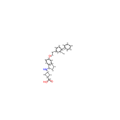 Cc1cc(CCOc2ccc3c(c2)CCC3N[C@H]2C[C@H](C(=O)O)C2)ccc1-c1ccccc1